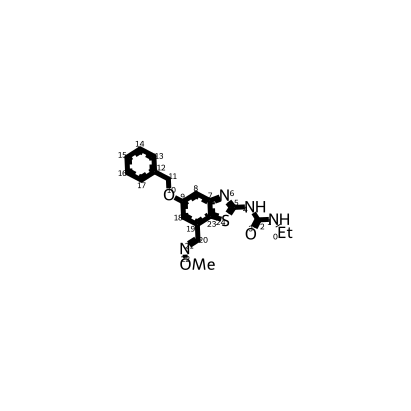 CCNC(=O)Nc1nc2cc(OCc3ccccc3)cc(C=NOC)c2s1